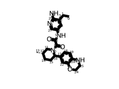 CCc1cc(NC(=O)C(=O)N2C[C@@H](C)CCC2c2ccc3c(c2)OCCN3)cnc1N